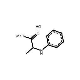 COC(=O)C(C)Nc1ccccc1.Cl